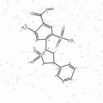 COC(=O)c1cc(S(C)(=O)=O)c(N2CC(c3ccccc3)CS2(=O)=O)cc1C